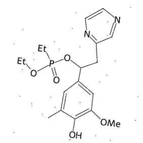 CCOP(=O)(CC)OC(Cc1cnccn1)c1cc(C)c(O)c(OC)c1